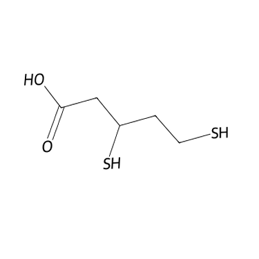 O=C(O)CC(S)CCS